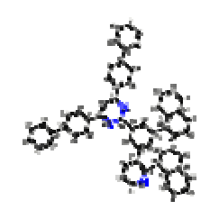 c1ccc(-c2ccc(-c3cc(-c4ccc(-c5ccccc5)cc4)nc(-c4cc(-c5cccnc5-c5cccc6ccccc56)cc(-c5cccc6ccccc56)c4)n3)cc2)cc1